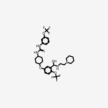 OC(NCCN1CCCCC1)c1cc(OC2CCC(NC(=S)Nc3cccc(OC(F)(F)F)c3)CC2)ccc1OC(F)(F)F